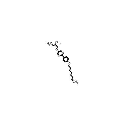 C=CCCCCCCOc1ccc(-c2ncc(OCC(C)CC)cn2)cc1